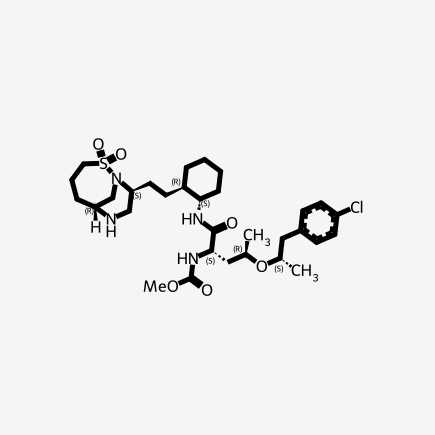 COC(=O)N[C@@H](C[C@@H](C)O[C@@H](C)Cc1ccc(Cl)cc1)C(=O)N[C@H]1CCCC[C@@H]1CC[C@H]1CN[C@@H]2CCCS(=O)(=O)N1C2